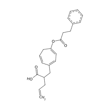 C=CCC(CC1=CC=C(OC(=O)CCc2ccccc2)CC=C1)C(=O)O